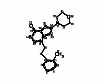 Cc1ccccc1CCn1cnc(=O)c2sc(N3CCOCC3)nc21